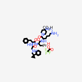 CC(C)CC(NC(=O)C(Cc1ccccc1)NC(=O)CNCC1(c2ccccc2)CC1)C(=O)NC(CCCCN)C(=O)N1CCC(N)(C(=O)O)CC1.O=C(O)C(F)(F)F